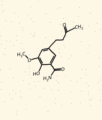 COc1cc(CCC(C)=O)cc(C(N)=O)c1O